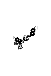 CC(SC1COC(C=Cc2ccc3cc(Cl)ccc3c2)OC1)C(O)(Cn1cncn1)c1ccc(F)cc1F